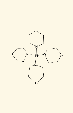 C1CN([PH](N2CCOCC2)(N2CCOCC2)N2CCOCC2)CCO1